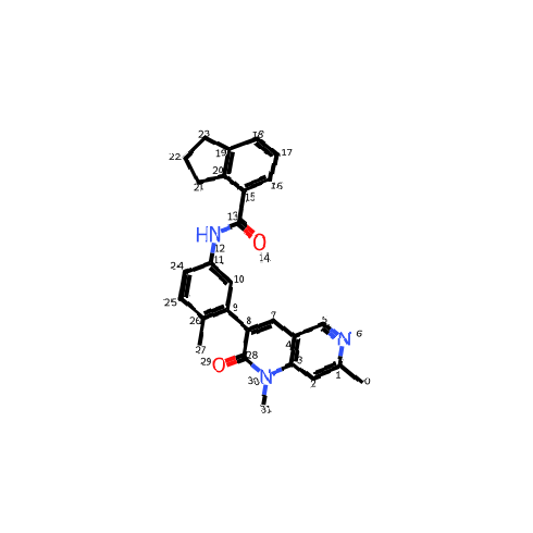 Cc1cc2c(cn1)cc(-c1cc(NC(=O)c3cccc4c3CCC4)ccc1C)c(=O)n2C